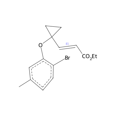 CCOC(=O)/C=C/C1(Oc2cc(C)ccc2Br)CC1